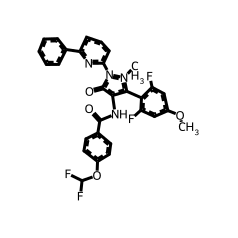 COc1cc(F)c(-c2c(NC(=O)c3ccc(OC(F)F)cc3)c(=O)n(-c3cccc(-c4ccccc4)n3)n2C)c(F)c1